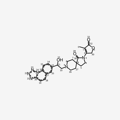 CC1=C(N2CCC3(CCN(CC(O)c4ccc5c(ccc6nnnn65)c4)CC3)C2=O)COC1=O